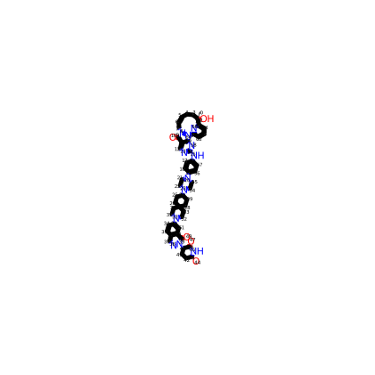 C[C@@]1(O)CC/C=C\Cn2c(=O)c3cnc(Nc4ccc(N5CCN(C6CCC7(CC6)CCN(c6ccc8cnn(C9CCC(=O)NC9=O)c(=O)c8c6)CC7)CC5)cc4)nc3n2-c2cccc1n2